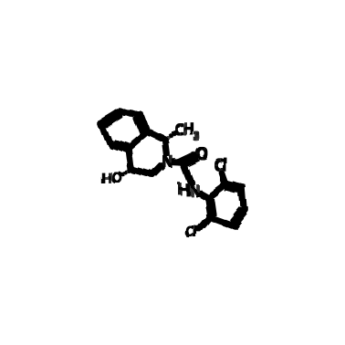 C[C@H]1c2ccccc2[C@@H](O)CN1C(=O)Nc1c(Cl)cccc1Cl